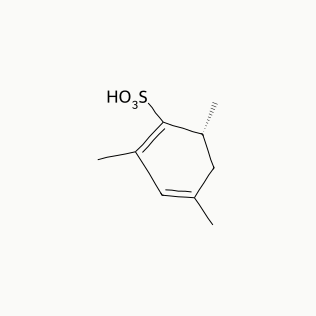 CC1=CC(C)=C(S(=O)(=O)O)[C@H](C)C1